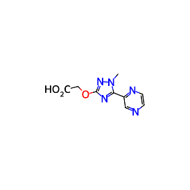 Cn1nc(OCC(=O)O)nc1-c1cnccn1